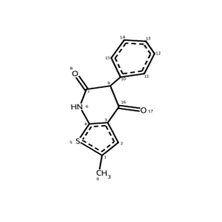 Cc1cc2c(s1)NC(=O)C(c1ccccc1)C2=O